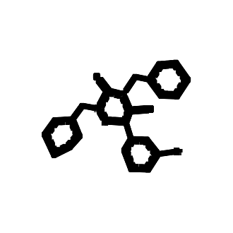 O=c1c(-c2cccc(Br)c2)nn(Cc2ccccc2)c(=O)n1Cc1ccccc1